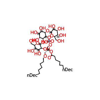 CCCCCCCCCCCCCCCCOC[C@H](COP(=O)(O)O[C@@H]1C(O[C@H]2OC(CO)[C@@H](O)[C@H](O)C2O)C(O)[C@@H](O)[C@H](O)C1O[C@H]1OC(CO)[C@@H](O)C(O)[C@H]1O)OC(=O)CCCCCCCCCCCCCCC